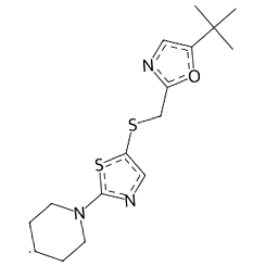 CC(C)(C)c1cnc(CSc2cnc(N3CC[CH]CC3)s2)o1